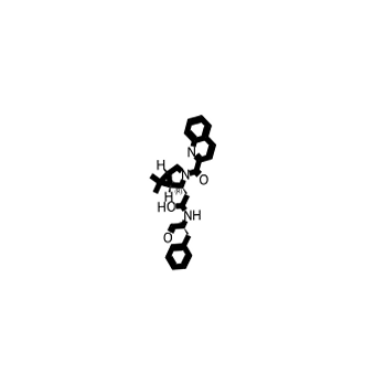 CC1(C)[C@@H]2[C@@H](CC(O)N[C@@H](C=O)Cc3ccccc3)N(C(=O)c3ccc4ccccc4n3)C[C@@H]21